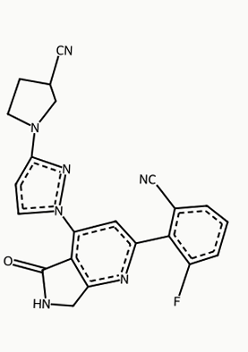 N#Cc1cccc(F)c1-c1cc(-n2ccc(N3CCC(C#N)C3)n2)c2c(n1)CNC2=O